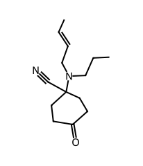 CC=CCN(CCC)C1(C#N)CCC(=O)CC1